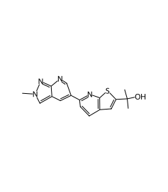 Cn1cc2cc(-c3ccc4cc(C(C)(C)O)sc4n3)cnc2n1